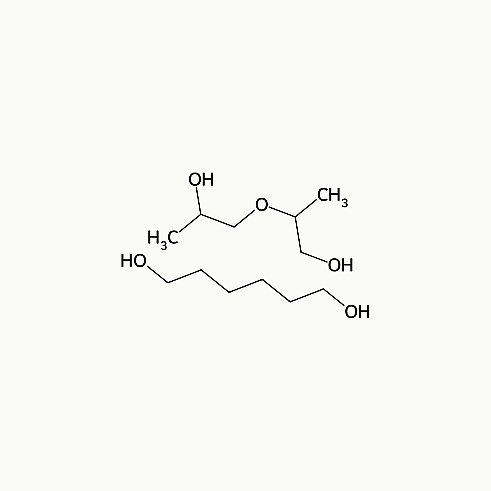 CC(O)COC(C)CO.OCCCCCCO